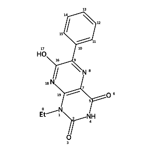 CCn1c(=O)[nH]c(=O)c2nc(-c3ccccc3)c(O)nc21